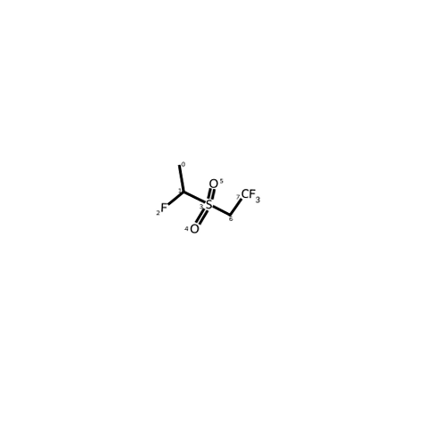 CC(F)S(=O)(=O)CC(F)(F)F